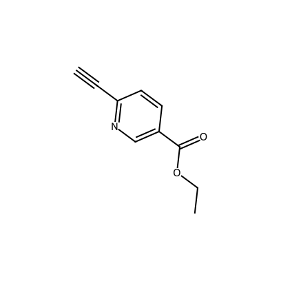 C#Cc1ccc(C(=O)OCC)cn1